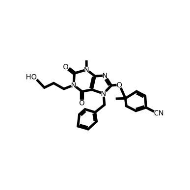 Cn1c(=O)n(CCCO)c(=O)c2c1nc(OC1(C)C=CC(C#N)=CC1)n2Cc1ccccc1